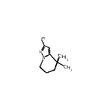 CC(C)c1cc2n(n1)CCCC2(C)C